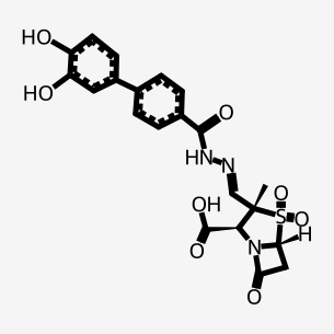 C[C@]1(/C=N/NC(=O)c2ccc(-c3ccc(O)c(O)c3)cc2)[C@H](C(=O)O)N2C(=O)C[C@H]2S1(=O)=O